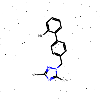 CCCc1nc(CCC)n(Cc2ccc(-c3ccccc3C#N)cc2)n1